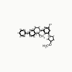 COC1CCN(c2cc(F)nc(N3CCc4nc(-c5ncccn5)ncc4C3C)c2)C1